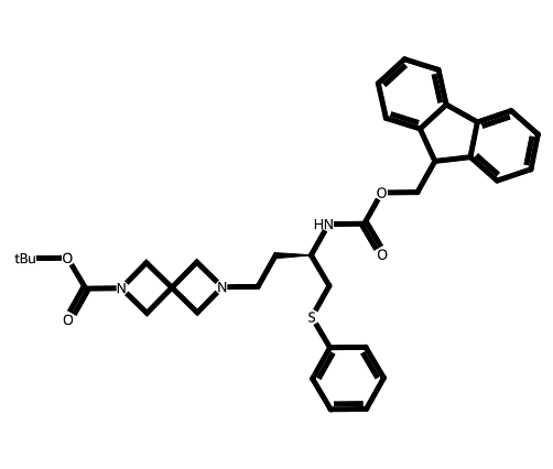 CC(C)(C)OC(=O)N1CC2(CN(CC[C@H](CSc3ccccc3)NC(=O)OCC3c4ccccc4-c4ccccc43)C2)C1